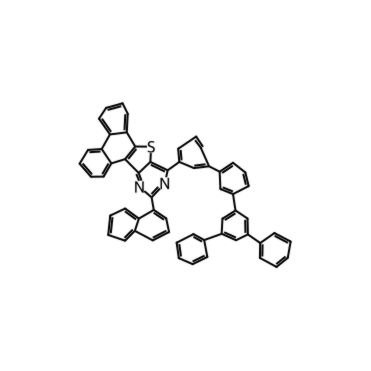 c1ccc(-c2cc(-c3ccccc3)cc(-c3cccc(-c4cccc(-c5nc(-c6cccc7ccccc67)nc6c5sc5c7ccccc7c7ccccc7c65)c4)c3)c2)cc1